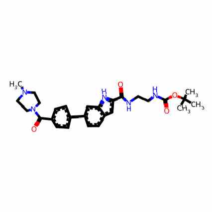 CN1CCN(C(=O)c2ccc(-c3ccc4cc(C(=O)NCCNC(=O)OC(C)(C)C)[nH]c4c3)cc2)CC1